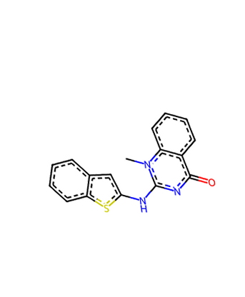 Cn1c(Nc2cc3ccccc3s2)nc(=O)c2ccccc21